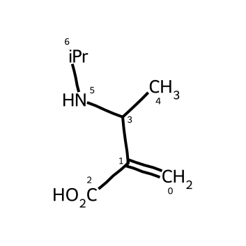 C=C(C(=O)O)C(C)NC(C)C